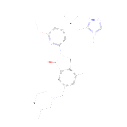 CCOc1cc(C2(Cc3nncn3C)COC2)cc(N2Cc3c(cc(CN4CCC(F)(F)C(C)C4)cc3C(F)(F)F)C2=O)n1